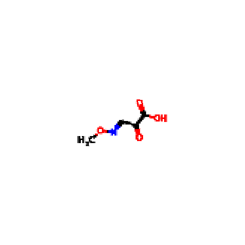 CON=CC(=O)C(=O)O